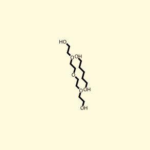 OCCCCCO.OCCOCCOCCOCCO